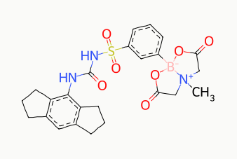 C[N+]12CC(=O)O[B-]1(c1cccc(S(=O)(=O)NC(=O)Nc3c4c(cc5c3CCC5)CCC4)c1)OC(=O)C2